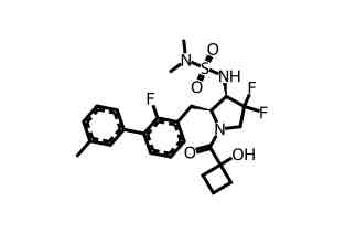 Cc1cccc(-c2cccc(C[C@H]3[C@@H](NS(=O)(=O)N(C)C)C(F)(F)CN3C(=O)C3(O)CCC3)c2F)c1